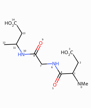 CNC(CC(=O)O)C(=O)NCC(=O)NC(C)CC(=O)O